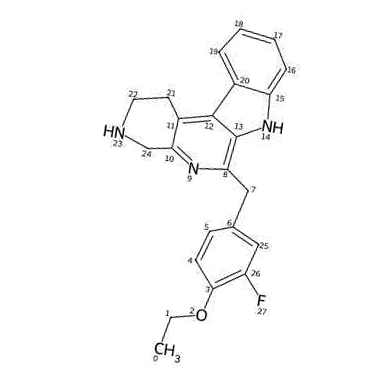 CCOc1ccc(Cc2nc3c(c4c2[nH]c2ccccc24)CCNC3)cc1F